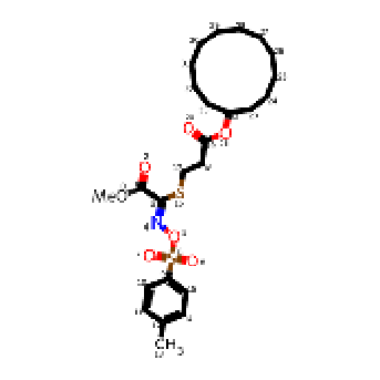 COC(=O)/C(=N/OS(=O)(=O)c1ccc(C)cc1)SCCC(=O)OC1CCCCCCCCCCC1